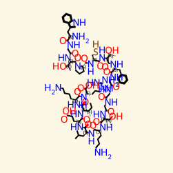 CC[C@H](C)[C@H](NC(=O)[C@H](CCC(=O)O)NC(=O)[C@H](CC(C)C)NC(=O)[C@H](CCCCN)NC(=O)[C@@H](NC(=O)CNC(=O)CNC(=O)CNC(=O)[C@H](Cc1ccccc1)NC(=O)[C@@H](NC(=O)[C@H](CS)NC(=O)[C@@H]1CCCN1C(=O)[C@@H](NC(=O)CNC(=O)[C@@H](N)Cc1c[nH]c2ccccc12)[C@@H](C)O)[C@@H](C)O)[C@@H](C)O)C(=O)N[C@@H](CCCCN)C(=O)N[C@@H](CCCNC(=N)N)C(=O)O